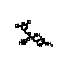 Cl.Cl.Nc1ncc(C[C@H](N)C(=O)OCc2cc(Cl)nc(Cl)c2)cn1